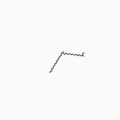 CCCCCCCCCCCCCCCCC(C)CCCCCCCCCCCC(C)CC